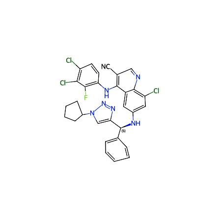 N#Cc1cnc2c(Cl)cc(N[C@@H](c3ccccc3)c3cn(C4CCCC4)nn3)cc2c1Nc1ccc(Cl)c(Cl)c1F